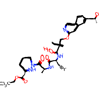 CC(C)[C@H](NC(O)C(C)(C)COc1cc2cc([C@@H](C)O)ccc2cn1)C(=O)N[C@@H](C)C(=O)N1CCC[C@H](C(=O)OCC(Cl)(Cl)Cl)N1